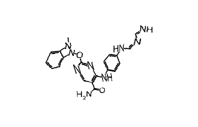 Cn1c2ccccc2n1Oc1ncc(C(N)=O)c(Nc2ccc(N/C=N\C=N)cc2)n1